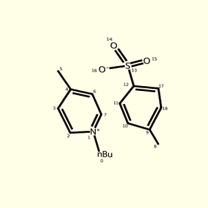 CCCC[n+]1ccc(C)cc1.Cc1ccc(S(=O)(=O)[O-])cc1